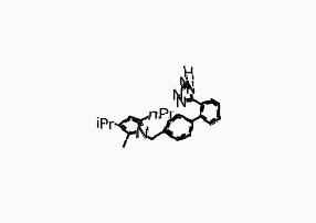 CCCc1cc(C(C)C)c(C)n1Cc1ccc(-c2ccccc2-c2nnn[nH]2)cc1